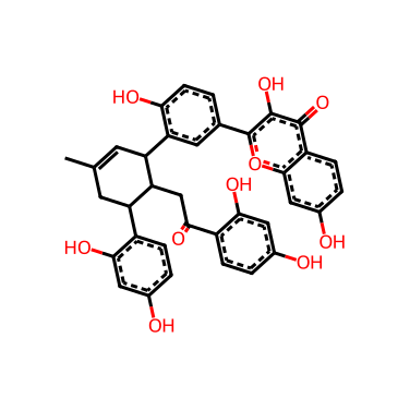 CC1=CC(c2cc(-c3oc4cc(O)ccc4c(=O)c3O)ccc2O)C(CC(=O)c2ccc(O)cc2O)C(c2ccc(O)cc2O)C1